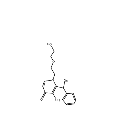 O=c1ccn(CCOCCO)c(C(O)c2ccccc2)c1O